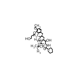 COc1ccc(C[C@@H](C[C@H](NC(=O)OC(C)(C)C)[C@@H](O)CNC(=O)N2CCCCC2)C(C)C)cc1OCCCO